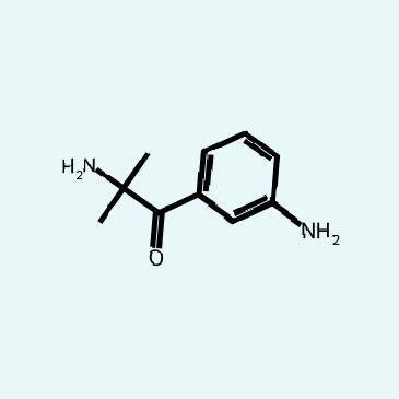 CC(C)(N)C(=O)c1cccc(N)c1